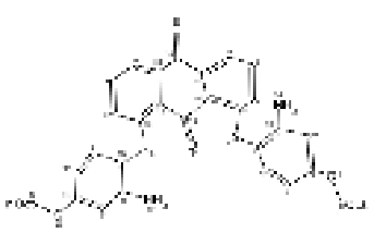 CCCCCCCCOc1ccc(Sc2cccc3c2C(=O)c2c(Sc4ccc(OCCCCCCCC)cc4N)cccc2C3=O)c(N)c1